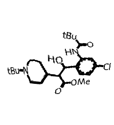 COC(=O)C(C1CCN(C(C)(C)C)CC1)C(O)c1ccc(Cl)cc1NC(=O)C(C)(C)C